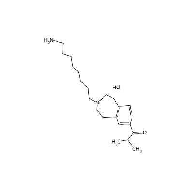 CC(C)C(=O)c1ccc2c(c1)CCN(CCCCCCCCN)CC2.Cl